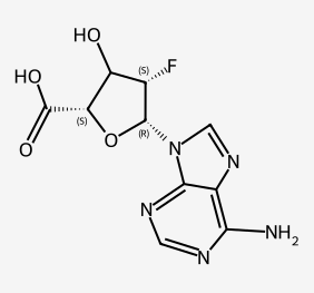 Nc1ncnc2c1ncn2[C@@H]1O[C@H](C(=O)O)C(O)[C@@H]1F